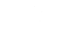 COc1cc(C)c2c(=O)c3c(oc2c1)C(=O)c1c(O)c(O)cc(O)c1C3=O